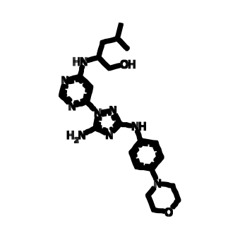 CC(C)CC(CO)Nc1cc(-n2nc(Nc3ccc(N4CCOCC4)cc3)nc2N)ncn1